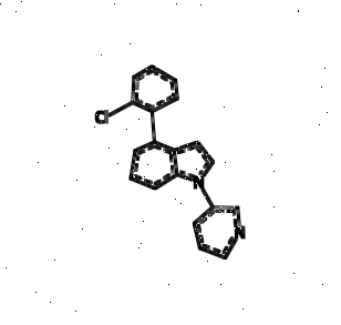 Clc1ccccc1-c1cccc2c1ccn2-c1cccnc1